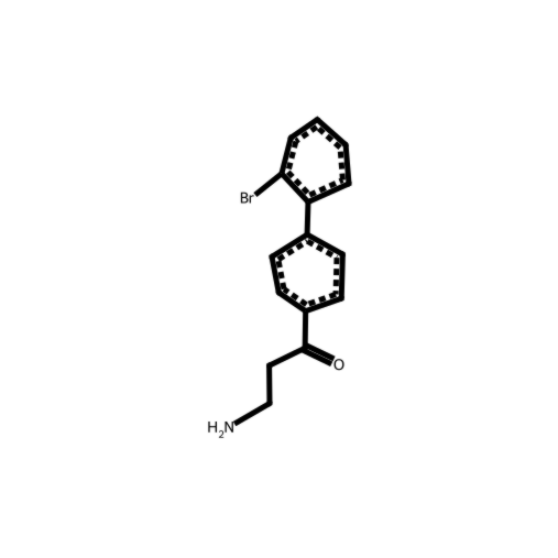 NCCC(=O)c1ccc(-c2ccccc2Br)cc1